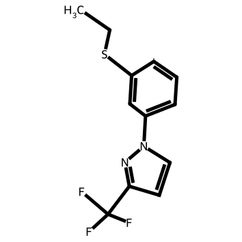 CCSc1[c]ccc(-n2ccc(C(F)(F)F)n2)c1